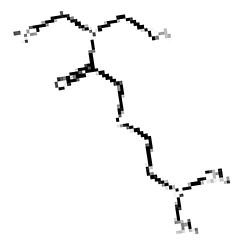 [CH2]CN(C[CH2])C(=O)CSCCN(C)C